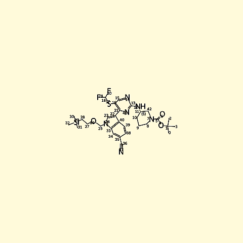 CC(C)(C)OC(=O)N1CCC[C@H](Nc2ncc(SC(F)F)c(-c3cn(COCC[Si](C)(C)C)c4cc(C#N)ccc34)n2)C1